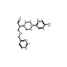 O=CC(COCc1ccncn1)N1CCN(c2ccc(Cl)cn2)CC1